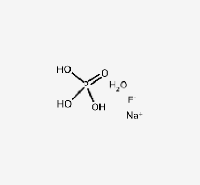 O.O=P(O)(O)O.[F-].[Na+]